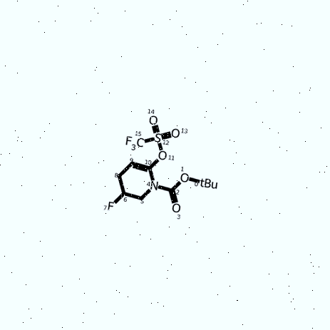 CC(C)(C)OC(=O)N1CC(F)CC=C1OS(=O)(=O)C(F)(F)F